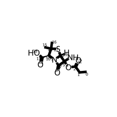 CCC(=O)OC1(N)C(=O)N2[C@@H](C(=O)O)C(C)(C)S[C@@H]21